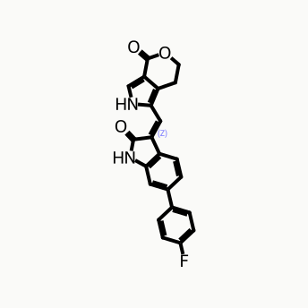 O=C1Nc2cc(-c3ccc(F)cc3)ccc2/C1=C/c1[nH]cc2c1CCOC2=O